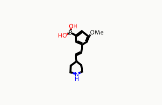 COc1cc(/C=C/C2CCNCC2)cc(B(O)O)c1